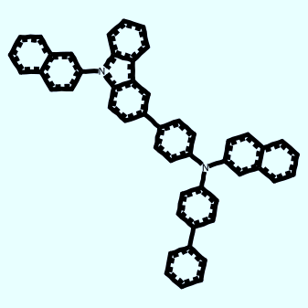 c1ccc(-c2ccc(N(c3ccc(-c4ccc5c(c4)c4ccccc4n5-c4ccc5ccccc5c4)cc3)c3ccc4ccccc4c3)cc2)cc1